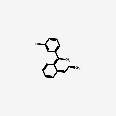 C=C/C=c1/cccc/c1=C(/C)c1cccc(Br)c1